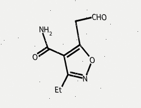 CCc1noc(CC=O)c1C(N)=O